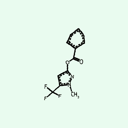 Cn1nc(OC(=O)c2ccccc2)cc1C(F)(F)F